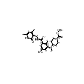 Cc1cc(C)c(CNC(=O)c2cc(Br)cc(N(C)C3CCN(C(=O)OC(C)(C)C)CC3)c2C)c(=O)[nH]1